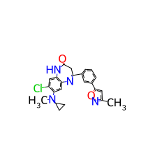 Cc1cc(-c2cccc(C3=Nc4cc(N(C)C5CC5)c(Cl)cc4NC(=O)C3)c2)on1